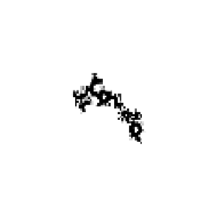 Cc1ccc(S(=O)(=O)NC(=O)NCCc2ccc(-c3c(C4CC4)nc4c(C)nc(C)cn34)cc2)cc1